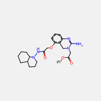 CC(C)OC(=O)CN1Cc2c(cccc2OCC(=O)NN2CCCC3CCCCC32)N=C1N